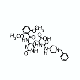 COc1cccc(OC)c1C(=O)Nc1nc(=O)[nH]cc1CC(NC(=O)NC1CCN(Cc2ccccc2)CC1)C(=O)O